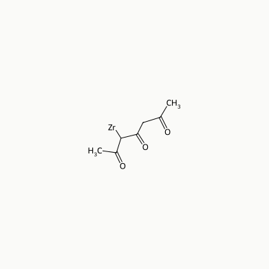 CC(=O)CC(=O)[CH]([Zr])C(C)=O